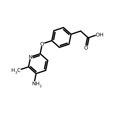 Cc1nc(Oc2ccc(CC(=O)O)cc2)ccc1N